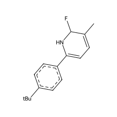 CC1=CC=C(c2ccc(C(C)(C)C)cc2)NC1F